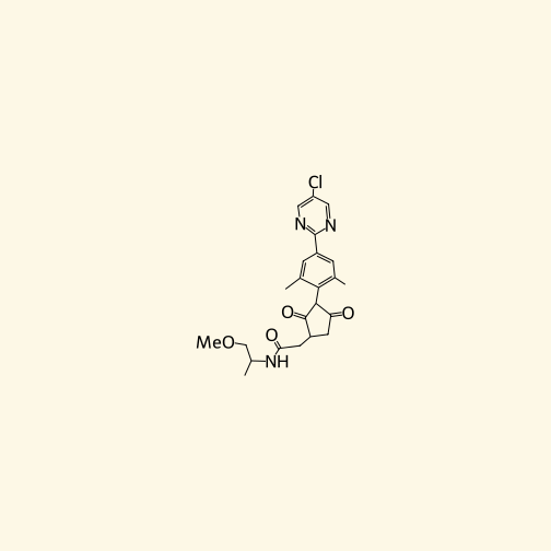 COCC(C)NC(=O)CC1CC(=O)C(c2c(C)cc(-c3ncc(Cl)cn3)cc2C)C1=O